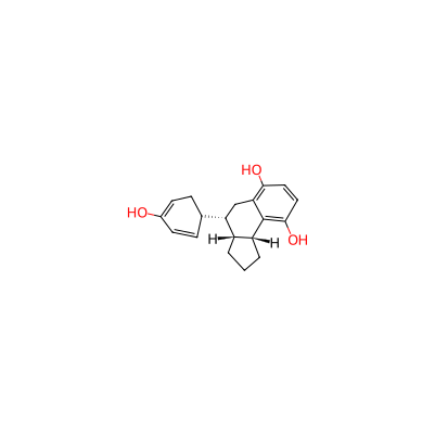 OC1=CCC([C@@H]2Cc3c(O)ccc(O)c3[C@@H]3CCC[C@@H]32)C=C1